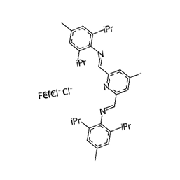 Cc1cc(C=Nc2c(C(C)C)cc(C)cc2C(C)C)nc(C=Nc2c(C(C)C)cc(C)cc2C(C)C)c1.[Cl-].[Cl-].[Cl-].[Fe+3]